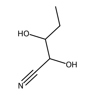 CCC(O)C(O)C#N